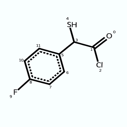 O=C(Cl)C(S)c1ccc(F)cc1